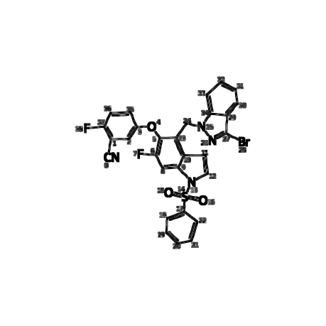 N#Cc1cc(Oc2c(F)cc3c(ccn3S(=O)(=O)c3ccccc3)c2Cn2nc(Br)c3ccccc32)ccc1F